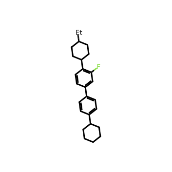 CCC1CCC(c2ccc(-c3ccc(C4CCCCC4)cc3)cc2F)CC1